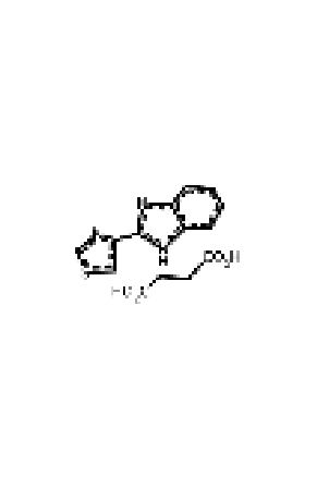 O=C(O)CCC(=O)O.c1ccc2[nH]c(-c3cscn3)nc2c1